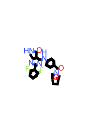 O=C1NCc2nc(-c3c(F)cccc3F)nc(Nc3ccc(C(=O)N4CC5CCC(C4)O5)cc3)c21